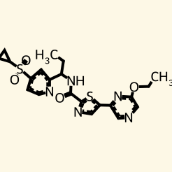 CCOc1cncc(-c2cnc(C(=O)NC(CC)c3cc(S(=O)(=O)C4CC4)ccn3)s2)n1